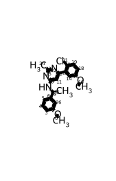 COc1cccc([C@H](C)Nc2cc(-c3cc(OC)ccc3Cl)nc(C)n2)c1